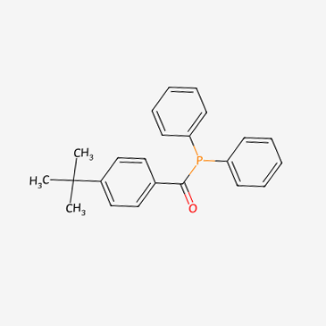 CC(C)(C)c1ccc(C(=O)P(c2ccccc2)c2ccccc2)cc1